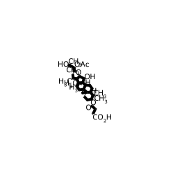 CC(=O)O[C@@H]([C@H]1C[C@@H](C)C2C(O1)[C@H](O)[C@@]1(C)[C@@H]3CC[C@H]4C(C)(C)[C@@H](OC(=O)CCC(=O)O)CC[C@@]45C[C@@]35CC[C@]21C)C(C)(C)O